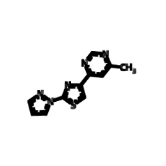 Cc1cc(-c2csc(-n3cccn3)n2)ncn1